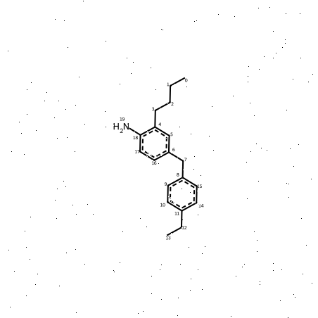 CCCCc1cc(Cc2ccc(CC)cc2)ccc1N